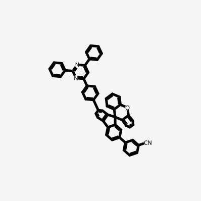 N#Cc1cccc(-c2ccc3c(c2)C2(c4ccccc4Oc4ccccc42)c2cc(-c4ccc(-c5cc(-c6ccccc6)nc(-c6ccccc6)n5)cc4)ccc2-3)c1